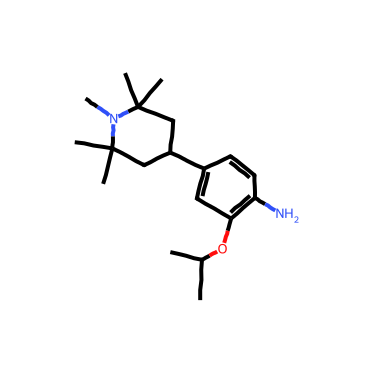 CC(C)Oc1cc(C2CC(C)(C)N(C)C(C)(C)C2)ccc1N